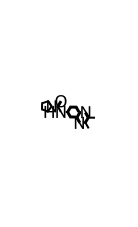 Cc1nc2ccc(NC(=O)N3CCCC3)cc2nc1C